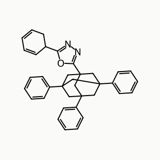 C1=CCC(c2nnc(C34CC5(c6ccccc6)CC(c6ccccc6)(CC(c6ccccc6)(C5)C3)C4)o2)C=C1